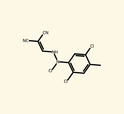 Cc1cc(Cl)c(N(Cl)NC=C(C#N)C#N)cc1Cl